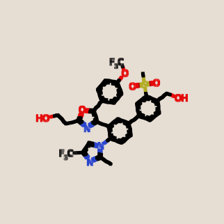 Cc1nc(C(F)(F)F)cn1-c1ccc(-c2ccc(CO)c(S(C)(=O)=O)c2)cc1-c1nc(CCO)oc1-c1ccc(OC(F)(F)F)cc1